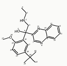 CCNCC(O)(c1cnc2ccccc2n1)c1cc(C(C)(C)C)ccc1OC